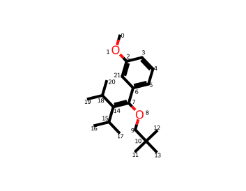 COc1cccc(C(OCC(C)(C)C)=C(C(C)C)C(C)C)c1